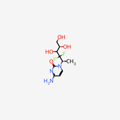 C[C@@H](n1ccc(N)nc1=O)C(F)(F)C(O)[C@H](O)CO